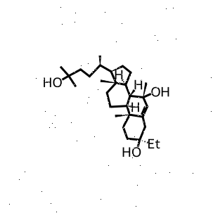 CC[C@]1(O)CC[C@@]2(C)C(=C[C@@](C)(O)[C@H]3[C@@H]4CC[C@H]([C@H](C)CCC(C)(C)O)[C@@]4(C)CC[C@@H]32)C1